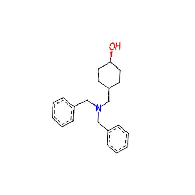 O[C@H]1CC[C@@H](CN(Cc2ccccc2)Cc2ccccc2)CC1